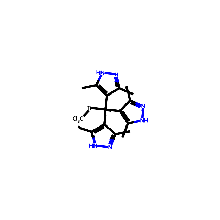 Cc1n[nH]c(C)c1[C]([Ti][C](Cl)(Cl)Cl)(c1c(C)n[nH]c1C)c1c(C)n[nH]c1C